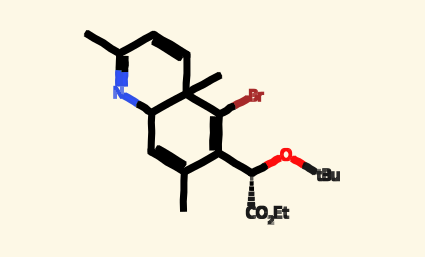 CCOC(=O)[C@@H](OC(C)(C)C)C1=C(Br)C2(C)C=CC(C)=NC2C=C1C